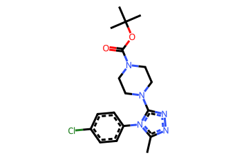 Cc1nnc(N2CCN(C(=O)OC(C)(C)C)CC2)n1-c1ccc(Cl)cc1